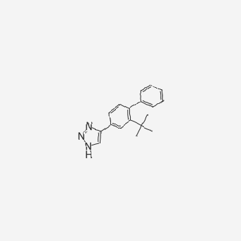 CC(C)(C)c1cc(-c2c[nH]nn2)ccc1-c1ccccc1